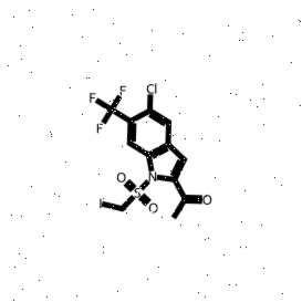 CC(=O)c1cc2cc(Cl)c(C(F)(F)F)cc2n1S(=O)(=O)CI